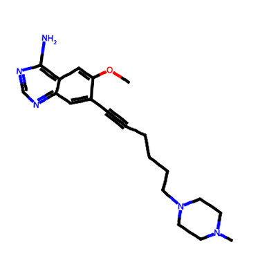 COc1cc2c(N)ncnc2cc1C#CCCCCN1CCN(C)CC1